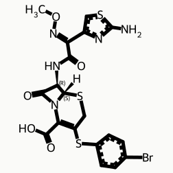 CON=C(C(=O)N[C@@H]1C(=O)N2C(C(=O)O)=C(Sc3ccc(Br)cc3)CS[C@@H]12)c1csc(N)n1